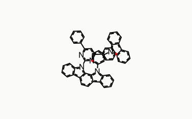 c1ccc(-c2cc(-c3ccccc3)nc(-n3c4ccccc4c4ccc5c6ccccc6n(-c6cccc(-n7c8ccccc8c8ccccc87)c6)c5c43)n2)cc1